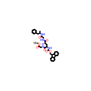 CC(Cc1ccccc1)NC(=O)CNC(=O)CCC(NC(=O)OCC1c2ccccc2-c2ccccc21)C(=O)NCC(=O)OC(C)(C)C